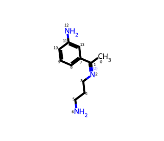 C/C(=N/CCCN)c1cccc(N)c1